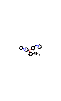 [SiH3]c1ccccc1.c1cc(OC2CCN(C3CCCC3)CC2)ccc1CN1CCCCC1